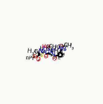 CCCOC(=O)c1sc(NC(=O)[C@H](CNC(=O)c2cccc(-c3noc(C)n3)c2)N(C)C)nc1C.O=CO